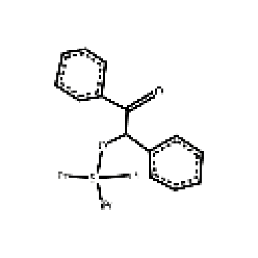 CC(C)[Si](OC(C(=O)c1ccccc1)c1ccccc1)(C(C)C)C(C)C